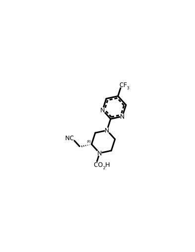 N#CC[C@@H]1CN(c2ncc(C(F)(F)F)cn2)CCN1C(=O)O